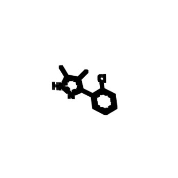 Cc1[nH]nc(-c2ccccc2Cl)c1C